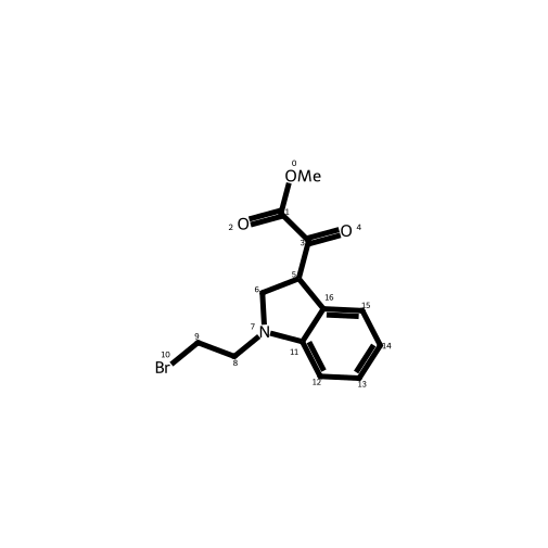 COC(=O)C(=O)C1CN(CCBr)c2ccccc21